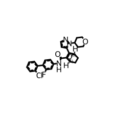 O=C(Nc1ccc(-c2ccccc2Cl)c(F)c1)C1=C(c2ccnn2C2CCOCC2)[C@@H]2CC[C@@H]1O2